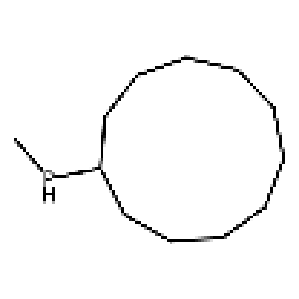 CPC1CCCCCCCCCC1